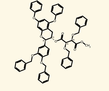 COC(=O)[C@H](OCc1ccccc1)[C@@H](OCc1ccccc1)C(=O)O[C@H]1Cc2c(Oc3ccccc3)cc(Oc3ccccc3)cc2O[C@@H]1c1ccc(OCc2ccccc2)c(OCc2ccccc2)c1